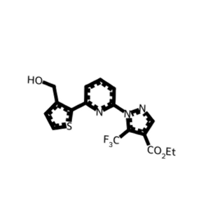 CCOC(=O)c1cnn(-c2cccc(-c3sccc3CO)n2)c1C(F)(F)F